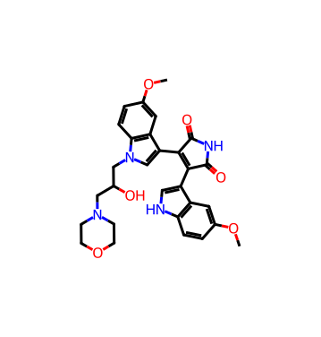 COc1ccc2[nH]cc(C3=C(c4cn(CC(O)CN5CCOCC5)c5ccc(OC)cc45)C(=O)NC3=O)c2c1